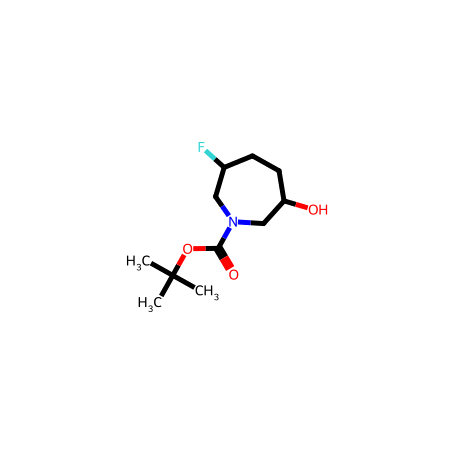 CC(C)(C)OC(=O)N1CC(O)CCC(F)C1